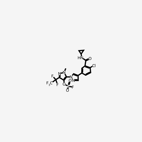 Cn1nc(C(F)(F)C(F)(F)F)c(OS(=O)(=O)F)c1-n1cc(-c2ccc(Cl)c(C(=O)NC3CC3)c2)cn1